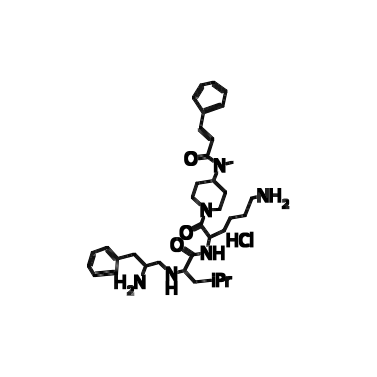 CC(C)CC(NCC(N)Cc1ccccc1)C(=O)NC(CCCCN)C(=O)N1CCC(N(C)C(=O)C=Cc2ccccc2)CC1.Cl